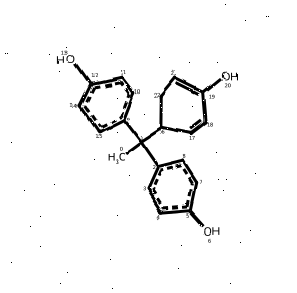 CC(c1ccc(O)cc1)(c1ccc(O)cc1)C1C=CC(O)=CC1